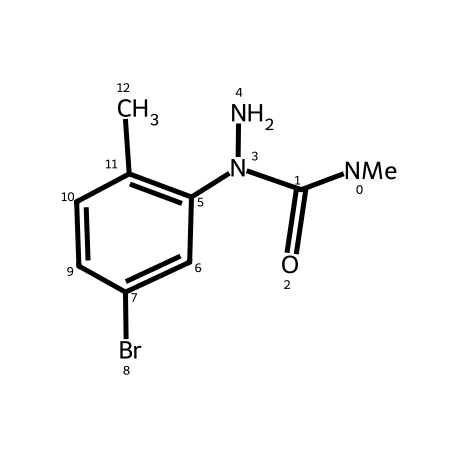 CNC(=O)N(N)c1cc(Br)ccc1C